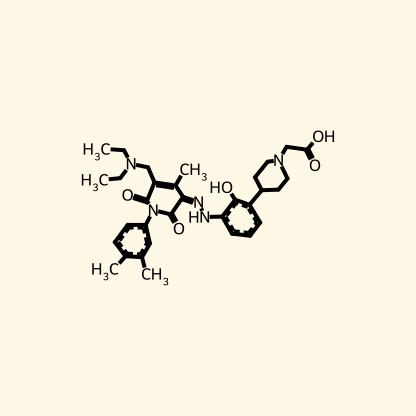 CCN(CC)CC1=C(C)C(=NNc2cccc(C3CCN(CC(=O)O)CC3)c2O)C(=O)N(c2ccc(C)c(C)c2)C1=O